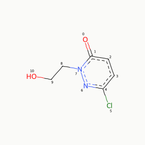 O=c1ccc(Cl)nn1CCO